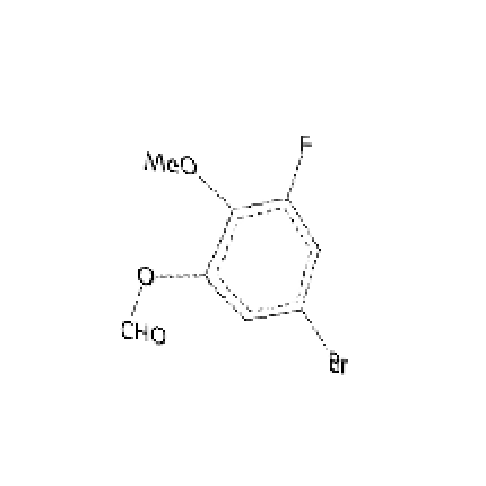 COc1c(F)cc(Br)cc1OC=O